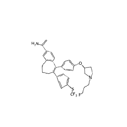 C=C(N)c1ccc2c(c1)CCCC(c1ccc(SC(F)(F)F)cc1)=C2c1ccc(OC2CCN(CCCF)C2)cc1